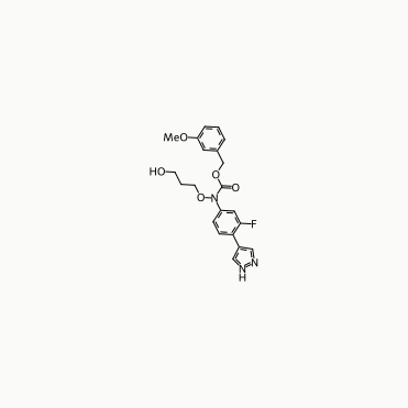 COc1cccc(COC(=O)N(OCCCO)c2ccc(-c3cn[nH]c3)c(F)c2)c1